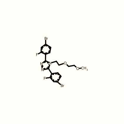 COCCOCCn1c(-c2ccc(Br)cc2F)nnc1-c1ccc(Br)cc1F